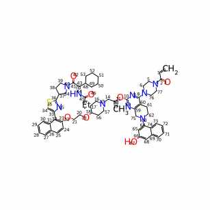 C=CC(=O)N1CCN(c2nc(O[C@H](C)CN3CCC(OCCOc4ccc5ccccc5c4-c4csc(C5CCN(C(=O)[C@@H](NC(=O)[CH]C)C6CCCCC6)C5)n4)CC3)nc3c2CCN(c2cc(O)cc4ccccc24)C3)CC1